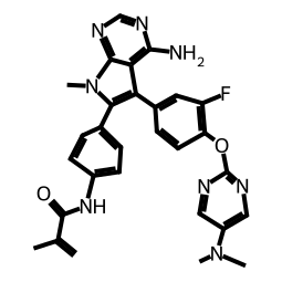 C=C(C)C(=O)Nc1ccc(-c2c(-c3ccc(Oc4ncc(N(C)C)cn4)c(F)c3)c3c(N)ncnc3n2C)cc1